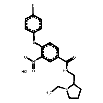 CCN1CCCC1CNC(=O)c1ccc(Sc2ccc(F)cc2)c([N+](=O)[O-])c1.Cl